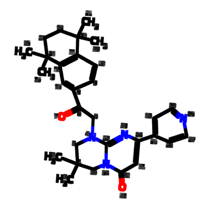 CC1(C)CN(CC(=O)c2ccc3c(c2)C(C)(C)CCC3(C)C)c2nc(-c3ccncc3)cc(=O)n2C1